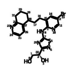 OC[C@@H](O)c1nsc(Nc2ncc(Br)cc2CCC2CCCc3ncccc32)n1